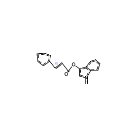 O=C(/C=C/c1ccccc1)Oc1c[nH]c2ccccc12